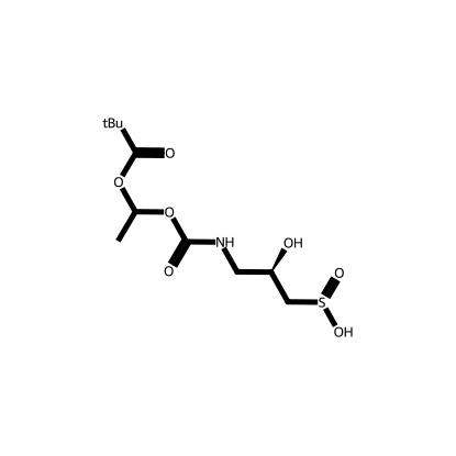 CC(OC(=O)NC[C@@H](O)CS(=O)O)OC(=O)C(C)(C)C